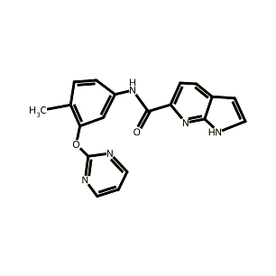 Cc1ccc(NC(=O)c2ccc3cc[nH]c3n2)cc1Oc1ncccn1